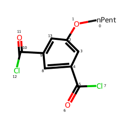 CCCCCOc1cc(C(=O)Cl)cc(C(=O)Cl)c1